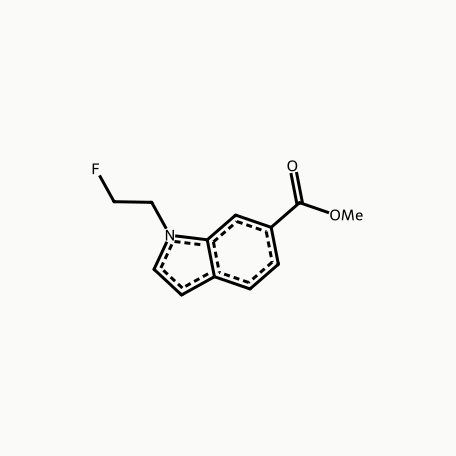 COC(=O)c1ccc2ccn(CCF)c2c1